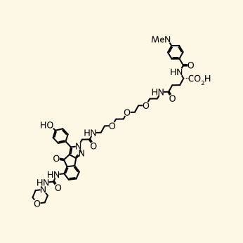 CNc1ccc(C(=O)N[C@@H](CCC(=O)NCCOCCOCCOCCNC(=O)Cn2nc3c(c2-c2ccc(O)cc2)C(=O)c2c(NC(=O)NN4CCOCC4)cccc2-3)C(=O)O)cc1